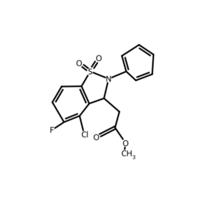 COC(=O)CC1c2c(ccc(F)c2Cl)S(=O)(=O)N1c1ccccc1